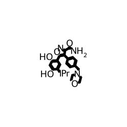 CC(C)c1cc(-c2onc(C(N)=O)c2-c2ccc(CN3CCOCC3)cc2)c(O)cc1O